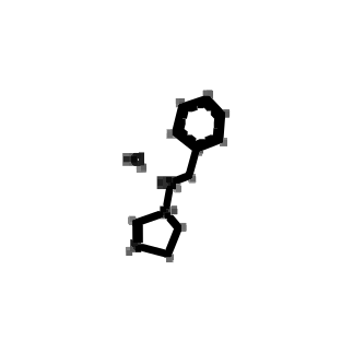 C1=NCCN1NCc1ccccc1.Cl